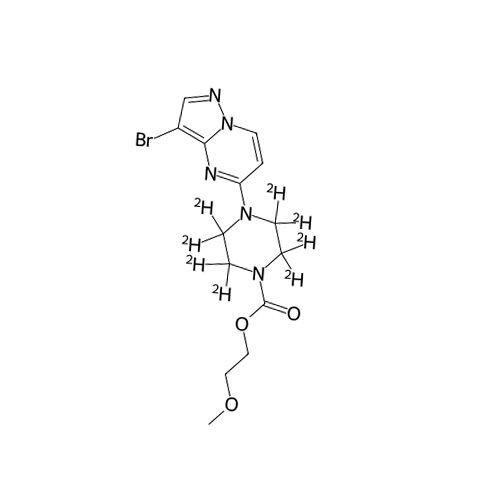 [2H]C1([2H])N(C(=O)OCCOC)C([2H])([2H])C([2H])([2H])N(c2ccn3ncc(Br)c3n2)C1([2H])[2H]